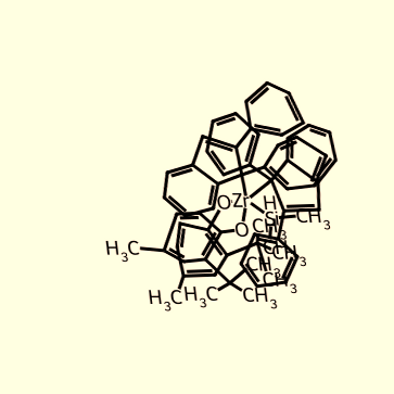 Cc1ccc([O][Zr]([O]c2ccc(C)cc2C(C)(C)C)([SiH](C)C)([C]2(c3ccccc3)C(c3ccccc3)=Cc3ccccc32)[C]2(c3ccccc3)C(c3ccccc3)=Cc3ccccc32)c(C(C)(C)C)c1